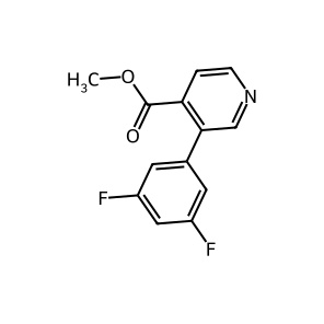 COC(=O)c1ccncc1-c1cc(F)cc(F)c1